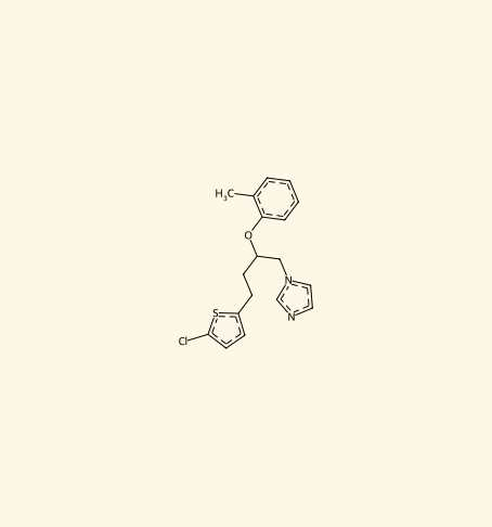 Cc1ccccc1OC(CCc1ccc(Cl)s1)Cn1ccnc1